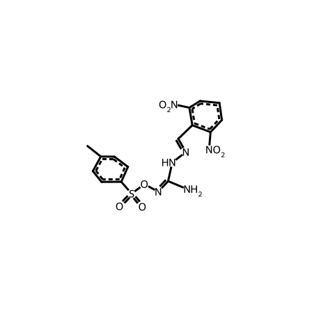 Cc1ccc(S(=O)(=O)ON=C(N)NN=Cc2c([N+](=O)[O-])cccc2[N+](=O)[O-])cc1